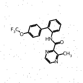 Cc1nccnc1C(=O)Nc1ccccc1-c1ccc(OC(F)(F)F)cc1